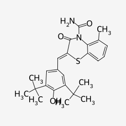 Cc1cccc2c1N(C(N)=O)C(=O)C(=Cc1cc(C(C)(C)C)c(O)c(C(C)(C)C)c1)S2